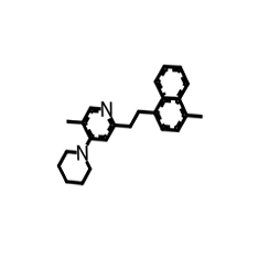 Cc1cnc(CCc2ccc(C)c3ccccc23)cc1N1CCCCC1